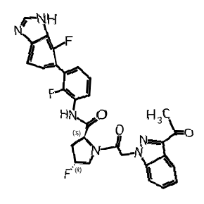 CC(=O)c1nn(CC(=O)N2C[C@H](F)C[C@H]2C(=O)Nc2cccc(-c3ccc4nc[nH]c4c3F)c2F)c2ccccc12